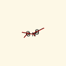 CCCCCCCCCCCOC(=O)CCCC1CC(CCCCCCC(=O)OC(CCCCCCCC)CCCCCCCC)N(CCC)C1